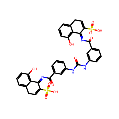 O=C(Nc1cccc(C(=O)N=C2C(S(=O)(=O)O)=CCc3cccc(O)c32)c1)Nc1cccc(C(=O)N=C2C(S(=O)(=O)O)=CCc3cccc(O)c32)c1